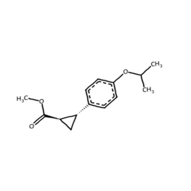 COC(=O)[C@@H]1C[C@H]1c1ccc(OC(C)C)cc1